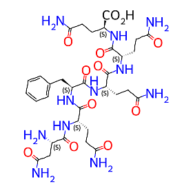 NC(=O)CC[C@H](NC(=O)[C@H](CCC(N)=O)NC(=O)[C@H](CCC(N)=O)NC(=O)[C@H](Cc1ccccc1)NC(=O)[C@H](CCC(N)=O)NC(=O)[C@@H](N)CC(N)=O)C(=O)O